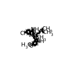 CCN(CC)CCCC(C)N(Cc1c[nH]c2ccc(OC)cc12)c1nc(N)c2ccc(Cl)cc2n1